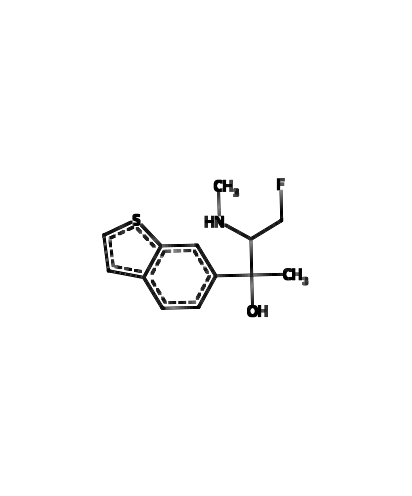 CNC(CF)C(C)(O)c1ccc2ccsc2c1